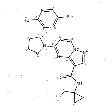 O=C(NC1(CO)CC1)c1cnn2ccc(N3OCC[C@@H]3c3cc(F)cnc3O)nc12